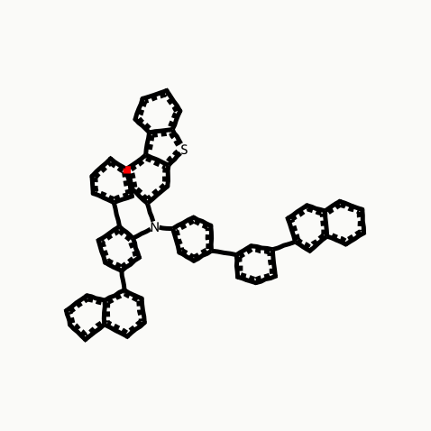 c1ccc(-c2ccc(-c3cccc4ccccc34)cc2N(c2ccc(-c3cccc(-c4ccc5ccccc5c4)c3)cc2)c2ccc3c(c2)sc2ccccc23)cc1